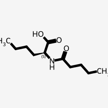 CCCCC(=O)N[C@@H](CCCC)C(=O)O